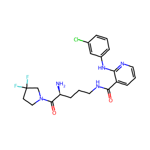 N[C@@H](CCCNC(=O)c1cccnc1Nc1cccc(Cl)c1)C(=O)N1CCC(F)(F)C1